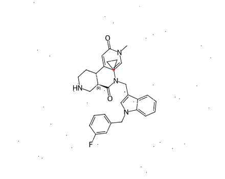 Cn1ccc(C2CCNC[C@@H]2C(=O)N(Cc2cn(Cc3cccc(F)c3)c3ccccc23)C2CC2)cc1=O